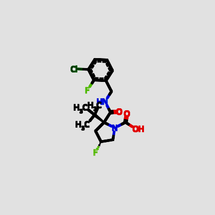 CC(C)(C)[C@]1(C(=O)NCc2cccc(Cl)c2F)C[C@@H](F)CN1C(=O)O